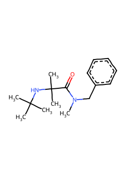 CN(Cc1ccccc1)C(=O)C(C)(C)NC(C)(C)C